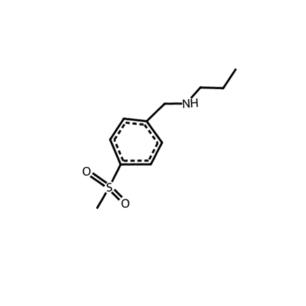 CCCNCc1ccc(S(C)(=O)=O)cc1